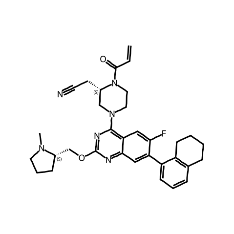 C=CC(=O)N1CCN(c2nc(OC[C@@H]3CCCN3C)nc3cc(-c4cccc5c4CCCC5)c(F)cc23)C[C@@H]1CC#N